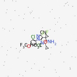 N#Cc1nn(-c2c(Cl)cc(OC(F)(F)F)cc2Cl)c(N(CC2CC2)C(=O)O)c1C1(C(N)=O)CC1(F)F